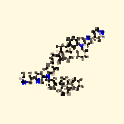 c1ccc(N(c2ccc(-c3ccncc3)nc2)c2cccc(-c3ccc4c5c(cccc35)-c3cc(-c5ccc(N(c6ccc(-c7cccnc7)nc6)c6cccc(-c7ccc8c9c(cccc79)-c7ccccc7-8)c6)cc5)ccc3-4)c2)cc1